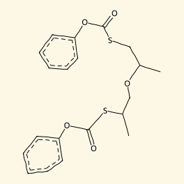 CC(CSC(=O)Oc1ccccc1)OCC(C)SC(=O)Oc1ccccc1